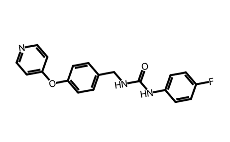 O=C(NCc1ccc(Oc2ccncc2)cc1)Nc1ccc(F)cc1